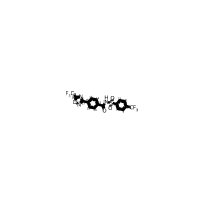 O=C(NS(=O)(=O)c1ccc(C(F)(F)F)cc1)c1ccc(-c2noc(C(F)(F)F)n2)cc1